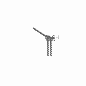 CCCCCCCCCCCCCCCCCCOc1ccc(CC(OCCCCCCCCCCCCCCCCCC)C(C)(C)C(=O)O)cc1OCCCCCCCCCCCCCCCCCC